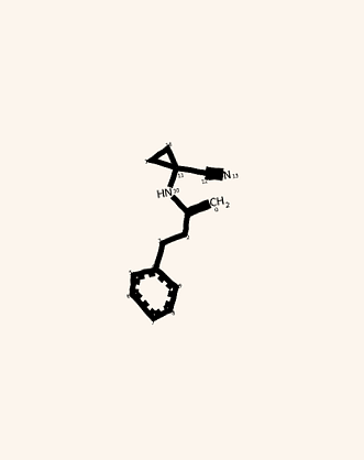 C=C(CCc1ccccc1)NC1(C#N)CC1